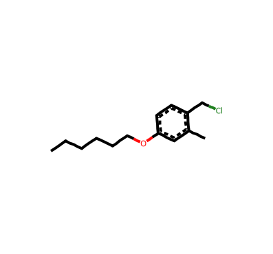 CCCCCCOc1ccc(CCl)c(C)c1